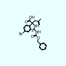 C=C(C)CC(NC(=S)NC(=O)OCc1ccccc1)(C(=O)O)c1ccc(Br)cc1